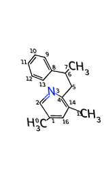 Cc1cnc(CC(C)c2ccccc2)c(C)c1